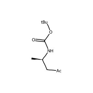 CC(=O)C[C@@H](C)NC(=O)OC(C)(C)C